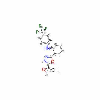 CC1(c2nnc(-c3ccccc3Nc3ccc(C(F)(F)F)cc3)o2)CO1